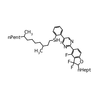 CCCCCCCC1Oc2ccc(-c3ncc(-c4ccccc4[SiH2]CCC(C)CCCCC(C)CCCCC)cn3)c(F)c2C1(F)F